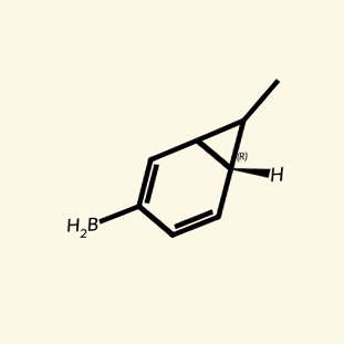 BC1=CC2C(C)[C@@H]2C=C1